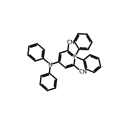 N#CC1=CC(N(c2ccccc2)c2ccccc2)=CC(C#N)=P1(c1ccccc1)c1ccccc1